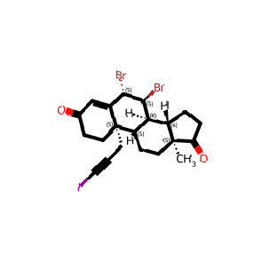 C[C@]12CC[C@H]3[C@@H]([C@H](Br)[C@@H](Br)C4=CC(=O)CC[C@@]43CC#CI)[C@@H]1CCC2=O